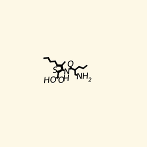 CCCCc1sc(C(=O)O)c(NC(=O)C(CN)CCC)c1C